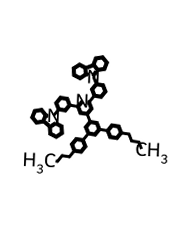 CCCCc1ccc(-c2cc(-c3ccc(CCCC)cc3)cc(-c3cc(-c4cccc(-n5c6ccccc6c6ccccc65)c4)nc(-c4cccc(-n5c6ccccc6c6ccccc65)c4)c3)c2)cc1